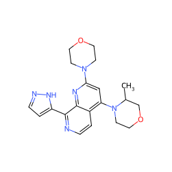 CC1COCCN1c1cc(N2CCOCC2)nc2c(-c3ccn[nH]3)nccc12